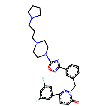 O=c1ccc(-c2cc(F)cc(F)c2)nn1Cc1cccc(-c2noc(N3CCN(CCCN4CCCC4)CC3)n2)c1